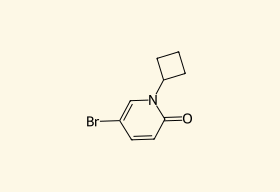 O=c1ccc(Br)cn1C1CCC1